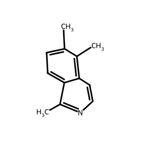 Cc1ccc2c(C)nccc2c1C